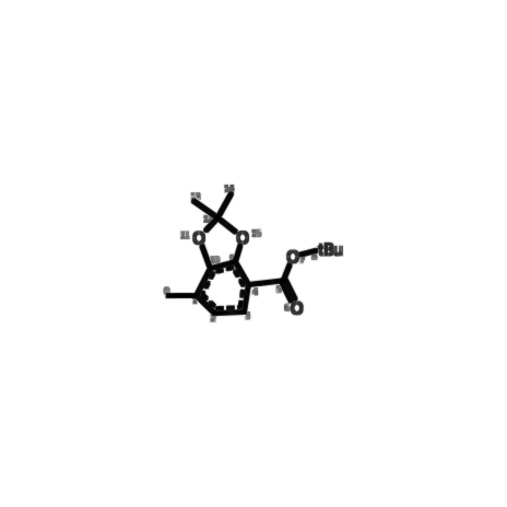 Cc1ccc(C(=O)OC(C)(C)C)c2c1OC(C)(C)O2